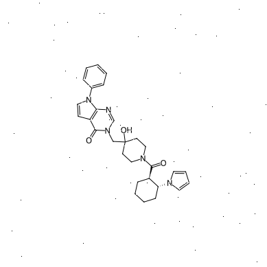 O=C([C@@H]1CCCC[C@H]1n1cccc1)N1CCC(O)(Cn2cnc3c(ccn3-c3ccccc3)c2=O)CC1